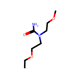 [CH2]COCCN(CCOC)C(N)=O